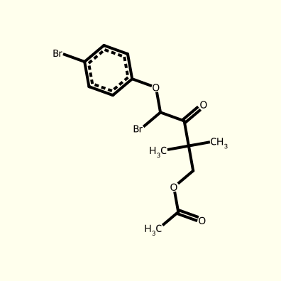 CC(=O)OCC(C)(C)C(=O)C(Br)Oc1ccc(Br)cc1